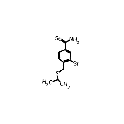 CC(C)SCc1ccc(C(N)=[Se])cc1Br